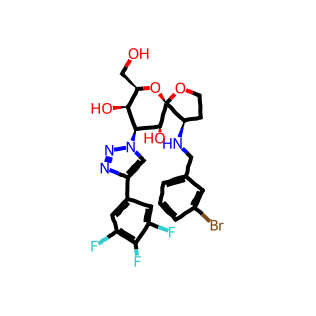 OC[C@H]1O[C@]2(OCC[C@H]2NCc2cccc(Br)c2)[C@H](O)[C@@H](n2cc(-c3cc(F)c(F)c(F)c3)nn2)[C@H]1O